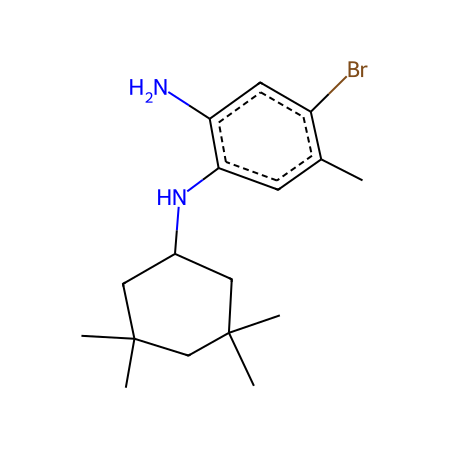 Cc1cc(NC2CC(C)(C)CC(C)(C)C2)c(N)cc1Br